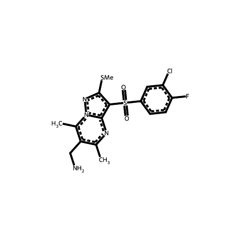 CSc1nn2c(C)c(CN)c(C)nc2c1S(=O)(=O)c1ccc(F)c(Cl)c1